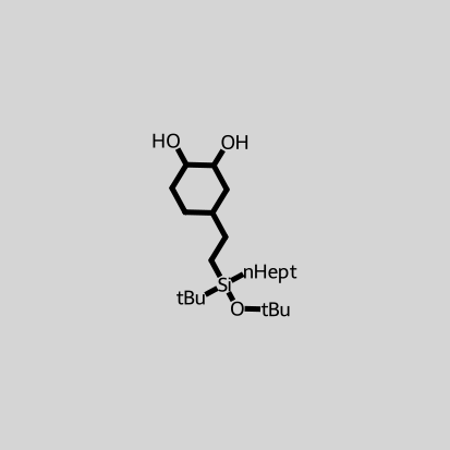 CCCCCCC[Si](CCC1CCC(O)C(O)C1)(OC(C)(C)C)C(C)(C)C